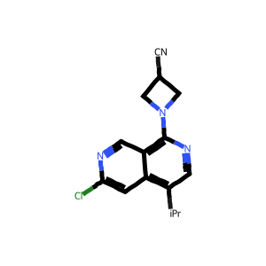 CC(C)c1cnc(N2CC(C#N)C2)c2cnc(Cl)cc12